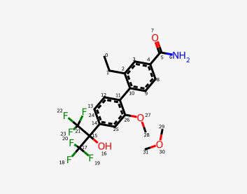 CCc1cc(C(N)=O)ccc1-c1ccc(C(O)(C(F)(F)F)C(F)(F)F)cc1OC.COC